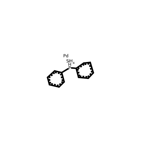 [Pd].[SiH4].c1ccc(Pc2ccccc2)cc1